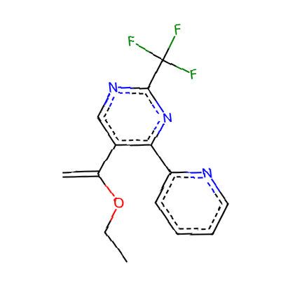 C=C(OCC)c1cnc(C(F)(F)F)nc1-c1ccccn1